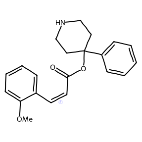 COc1ccccc1/C=C\C(=O)OC1(c2ccccc2)CCNCC1